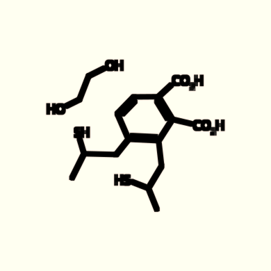 CC(S)Cc1ccc(C(=O)O)c(C(=O)O)c1CC(C)S.OCCO